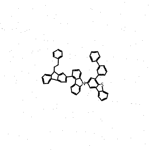 c1ccc(CCC2c3ccccc3-c3ccc(-c4cccc5c4c4ccccc4n5-c4cc(-c5cccc(-c6ccccc6)c5)c5sc6ccccc6c5c4)cc32)cc1